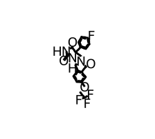 O=C1NC(=O)C(CN2Cc3ccc(OCC(F)(F)F)cc3C2=O)(c2ccc(F)cc2)N1